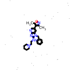 Cc1noc(C)c1-c1cnc2nc(NCCN3CCCCC3)n(Cc3ccccc3)c2c1